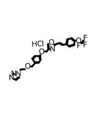 Cl.FC(F)(F)Oc1ccc(C=Cc2nc(COc3ccc(COCCn4ccnn4)cc3)co2)cc1